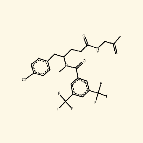 C=C(C)CNC(=O)CCC(Cc1ccc(Cl)cc1)N(C)C(=O)c1cc(C(F)(F)F)cc(C(F)(F)F)c1